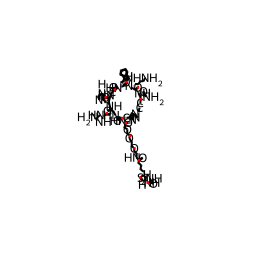 N=C(N)NCCC[C@H]1NC(=O)[C@@H](NC(=O)COCCOCCOCCNC(=O)CCCC[C@H]2SC[C@H]3NC(=O)N[C@H]32)Cc2cn(nn2)CCCC[C@@H](C(N)=O)NC(=O)[C@@H](CCCCN)NC(=O)[C@@H](Cc2c[nH]c3ccccc23)NC(=O)CNC(=O)[C@@H](Cc2c[nH]cn2)NC1=O